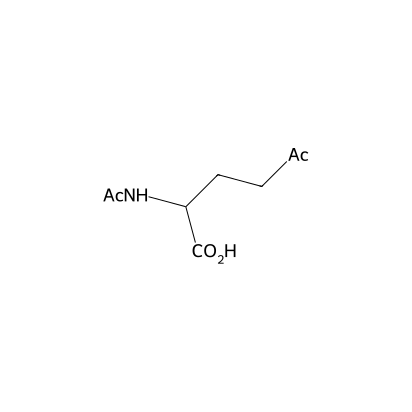 CC(=O)CCC(NC(C)=O)C(=O)O